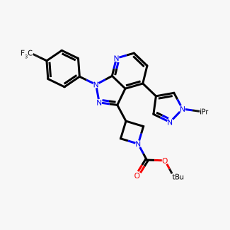 CC(C)n1cc(-c2ccnc3c2c(C2CN(C(=O)OC(C)(C)C)C2)nn3-c2ccc(C(F)(F)F)cc2)cn1